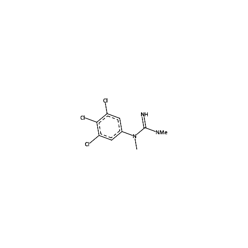 CNC(=N)N(C)c1cc(Cl)c(Cl)c(Cl)c1